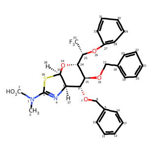 CN(C(=O)O)C1=N[C@@H]2[C@@H](OCc3ccccc3)[C@H](OCc3ccccc3)[C@@H]([C@@H](Oc3ccccc3)C(F)(F)F)O[C@@H]2S1